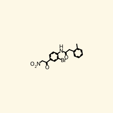 Cc1ccccc1CC(=O)Nc1ccc(C(=O)C[N+](=O)[O-])cc1Br